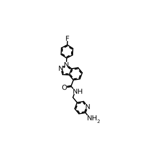 Nc1ccc(CNC(=O)c2cccc3c2cnn3-c2ccc(F)cc2)cn1